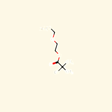 CCCCCCCCOCCOC(=O)C(C)(C)CC